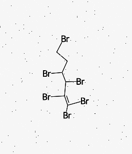 BrCCC(Br)C(Br)C(Br)=C(Br)Br